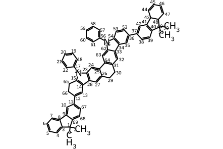 CC1(C)c2ccccc2-c2cc(C3=Cc4c(n(-c5ccccc5)c5cc6c(cc45)CCc4cc5c7cc(-c8ccc9c(c8)C8C=CC=CC8C9(C)C)ccc7n(-c7ccccc7)c5cc4-6)CC3)ccc21